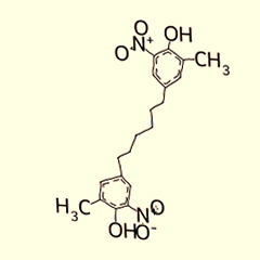 Cc1cc(CCCCCCc2cc(C)c(O)c([N+](=O)[O-])c2)cc([N+](=O)[O-])c1O